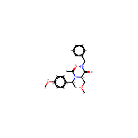 COC[C@H](C(=O)NCc1ccccc1)N(C(C)=O)C(C)c1ccc(OC)cc1